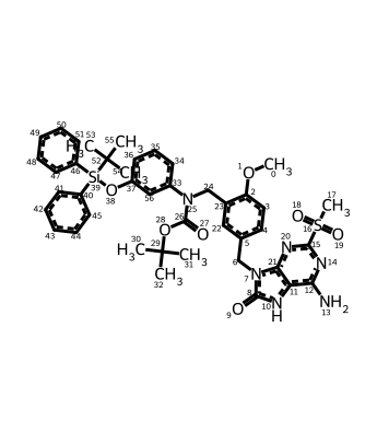 COc1ccc(Cn2c(=O)[nH]c3c(N)nc(S(C)(=O)=O)nc32)cc1CN(C(=O)OC(C)(C)C)c1cccc(O[Si](c2ccccc2)(c2ccccc2)C(C)(C)C)c1